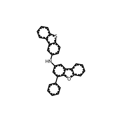 c1ccc(-c2cc(Nc3ccc4sc5ccccc5c4c3)cc3c2oc2ccccc23)cc1